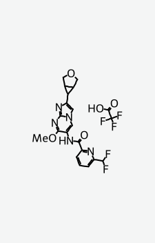 COc1nc2nc(C3C4COCC43)cn2cc1NC(=O)c1cccc(C(F)F)n1.O=C(O)C(F)(F)F